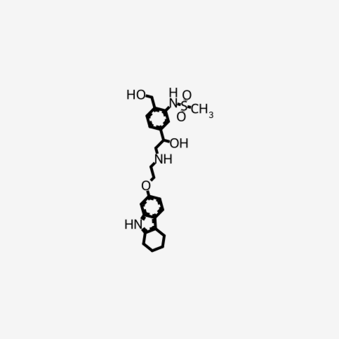 CS(=O)(=O)Nc1cc(C(O)CNCCOc2ccc3c4c([nH]c3c2)CCCC4)ccc1CO